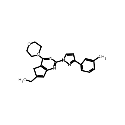 CCC1=Cc2nc(-n3ccc(-c4cccc(C)c4)n3)nc(N3CCOCC3)c2C1